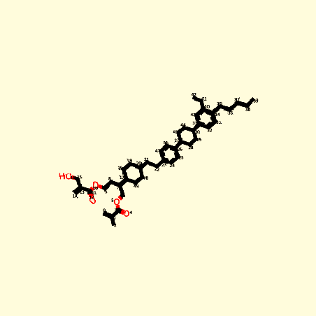 C=C(C)C(=O)OCC(CCOC(=O)C(=C)CO)C1CCC(CCc2ccc(C3CCC(c4ccc(CCCCC)c(CC)c4)CC3)cc2)CC1